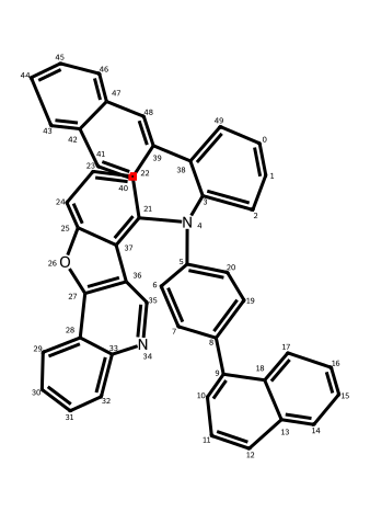 c1ccc(N(c2ccc(-c3cccc4ccccc34)cc2)c2cccc3oc4c5ccccc5ncc4c23)c(-c2ccc3ccccc3c2)c1